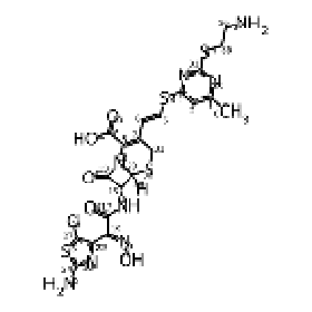 Cc1cc(SC=CC2=C(C(=O)O)N3C(=O)[C@@H](NC(=O)C(=NO)c4nc(N)sc4Cl)[C@H]3SC2)nc(SCCN)n1